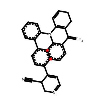 C=C1C2=C(C=CCC2)N(c2ccccc2-c2ccc(C3=CC=NCC3C#N)cc2)c2ccccc21